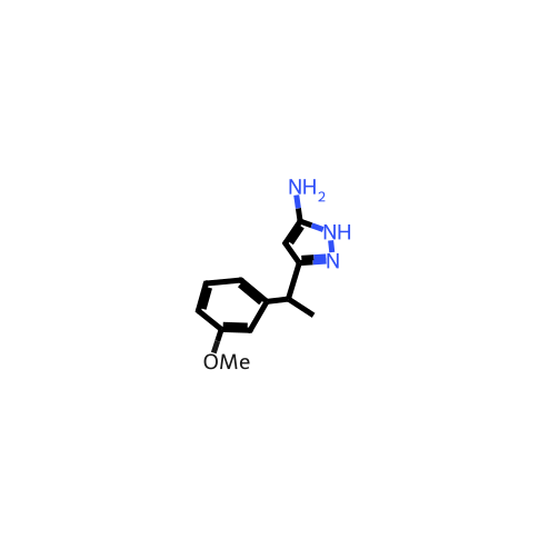 COc1cccc(C(C)c2cc(N)[nH]n2)c1